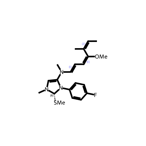 C\C=C(C)/C(=C\C=C\N(C)C1=CN(C)[C@@H](SC)N1c1ccc(F)cc1)OC